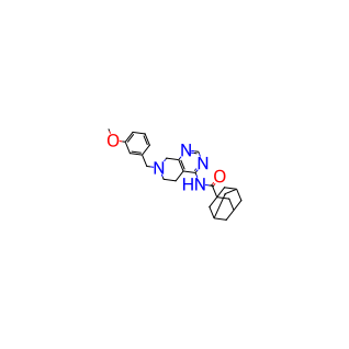 COc1cccc(CN2CCc3c(ncnc3NC(=O)C34CC5CC(CC(C5)C3)C4)C2)c1